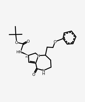 CC(C)(C)OC(=O)N[C@@H]1C=C2C(=O)NCCC(CCOc3ccccc3)N2C1